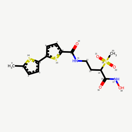 Cc1ccc(-c2ccc(C(=O)NCCC(C(=O)NO)S(C)(=O)=O)s2)s1